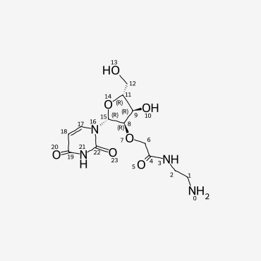 NCCNC(=O)CO[C@@H]1[C@H](O)[C@@H](CO)O[C@H]1n1ccc(=O)[nH]c1=O